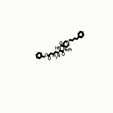 CCCN1C(=O)[C@@H](C(N)CCCC(=O)OCc2ccccc2)NC(=O)C12CCN(CCCCc1ccccc1)CC2